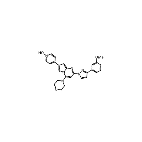 COc1cccc(-c2ccn(-c3cc(N4CCOCC4)n4nc(-c5cc[n+](O)cc5)cc4n3)n2)c1